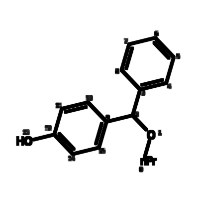 CCCOC(c1ccccc1)c1ccc(O)cc1